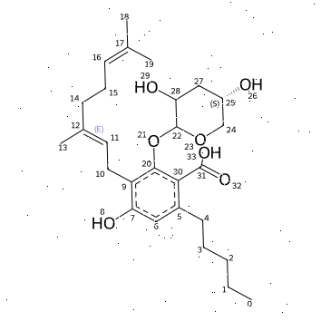 CCCCCc1cc(O)c(C/C=C(\C)CCC=C(C)C)c(OC2OC[C@@H](O)CC2O)c1C(=O)O